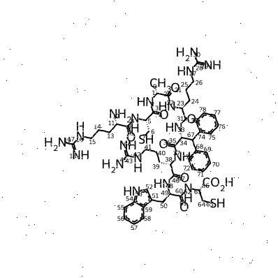 C[C@@H](NC(=O)[C@H](CS)NC(=O)[C@@H](N)CCCNC(=N)N)C(=O)N[C@@H](CCCNC(=N)N)C(=O)N[C@@H](C(=O)N[C@@H](CCCNC(=N)N)C(=O)N[C@H](Cc1c[nH]c2ccccc12)C(=O)N[C@@H](CS)C(=O)O)C(c1ccccc1)c1ccccc1